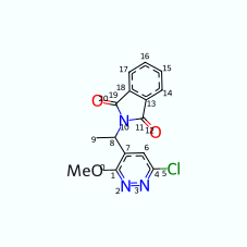 COc1nnc(Cl)cc1C(C)N1C(=O)c2ccccc2C1=O